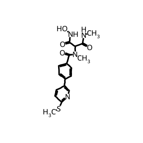 CNC(=O)C(C(=O)NO)N(C)C(=O)c1ccc(-c2ccc(SC)nc2)cc1